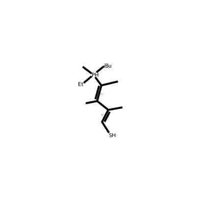 CCC(C)[PH](C)(CC)/C(C)=C(C)/C(C)=C/S